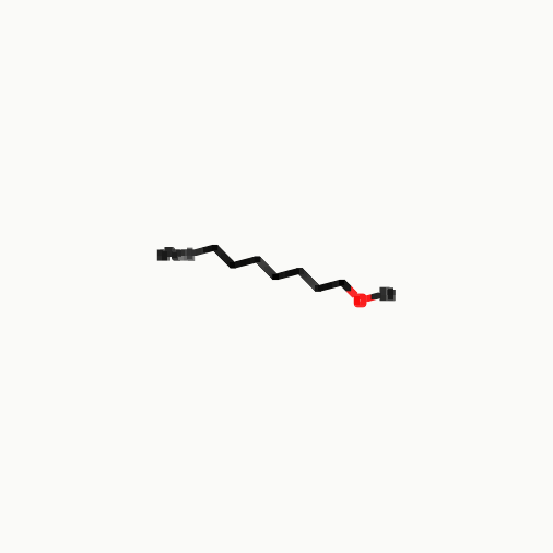 CCCCCCCCCCCCOCC